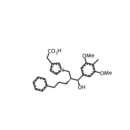 COc1cc([C@@H](O)[C@@H](CCCc2ccccc2)Cn2ccc(CC(=O)O)c2)cc(OC)c1C